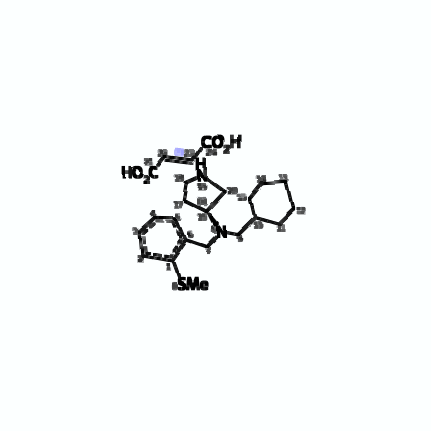 CSc1ccccc1CN(CC1CCCCC1)[C@H]1CCNC1.O=C(O)/C=C/C(=O)O